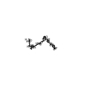 CC(C)[C@H](NC(=O)CCCCCNC(=O)COCCOCC(Nc1ccc(COC(=O)Oc2ccc([N+](=O)[O-])cc2)cc1)N1C(=O)C=CC1=O)C(=O)N[C@@H](C)CCCNC(N)=O